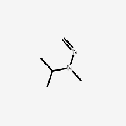 C=NN(C)C(C)C